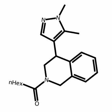 CCCCCCC(=O)N1Cc2ccccc2C(c2cnn(C)c2C)C1